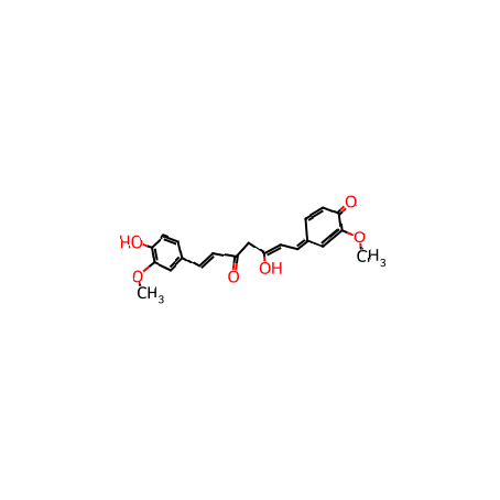 COC1=CC(=CC=C(O)CC(=O)C=Cc2ccc(O)c(OC)c2)C=CC1=O